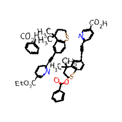 CC1(C)CC(OC(=O)c2ccccc2)Sc2ccc(C#Cc3ccc(C(=O)O)cn3)cc21.CCOC(=O)c1ccc(C#Cc2ccc3c(c2)C(C)(C)CCS3)nc1.O=C(O)c1ccccc1